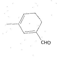 CC1=CCCC(C=O)=C1